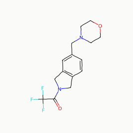 O=C(N1Cc2ccc(CN3CCOCC3)cc2C1)C(F)(F)F